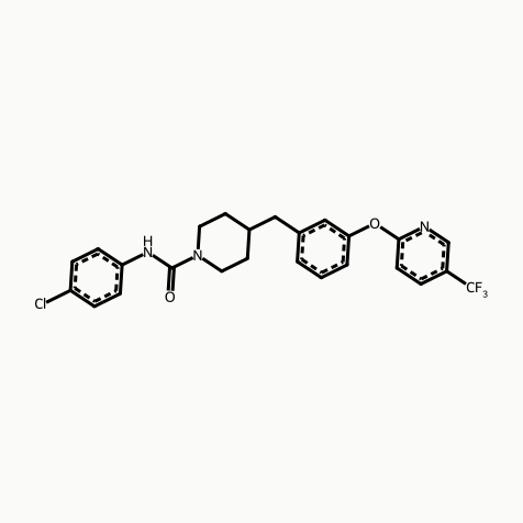 O=C(Nc1ccc(Cl)cc1)N1CCC(Cc2cccc(Oc3ccc(C(F)(F)F)cn3)c2)CC1